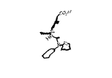 C=C(NC(=C)N(C1CCCCC1)C1CCCCC1)S/C=C(\C)CC(=O)O